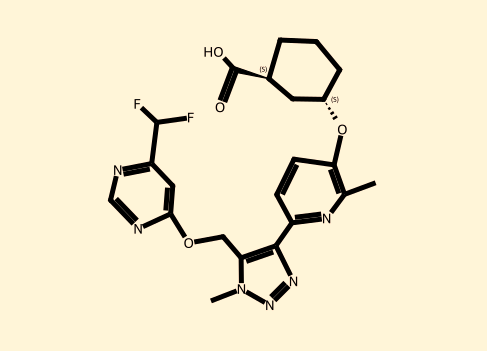 Cc1nc(-c2nnn(C)c2COc2cc(C(F)F)ncn2)ccc1O[C@H]1CCC[C@H](C(=O)O)C1